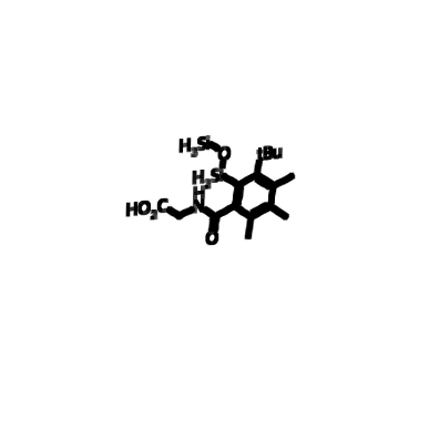 Cc1c(C)c(C(=O)NCC(=O)O)c([SiH2]O[SiH3])c(C(C)(C)C)c1C